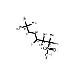 O=S(=O)(O)C(F)(F)C(F)(F)C(F)CCC(F)(F)F